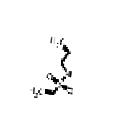 C=CCNS(=O)(=O)C=C